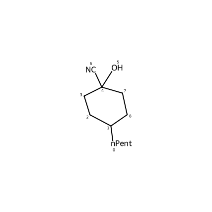 CCCCCC1CCC(O)(C#N)CC1